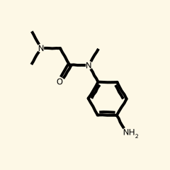 CN(C)CC(=O)N(C)c1ccc(N)cc1